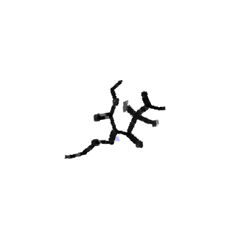 C=C(C)C(F)(F)C(=O)/C(=C/OCC)C(=O)OCC